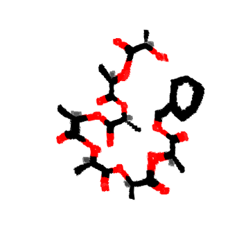 C[C@H](O)C(=O)O[C@H](C)C(=O)O[C@H](C)C(=O)O[C@H](C)C(=O)O[C@H](C)C(=O)O[C@H](C)C(=O)O[C@H](C)C(=O)OCc1ccccc1